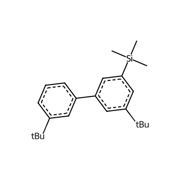 CC(C)(C)c1cccc(-c2cc(C(C)(C)C)cc([Si](C)(C)C)c2)c1